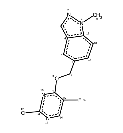 Cn1ncc2cc(COc3nc(Cl)ncc3F)ccc21